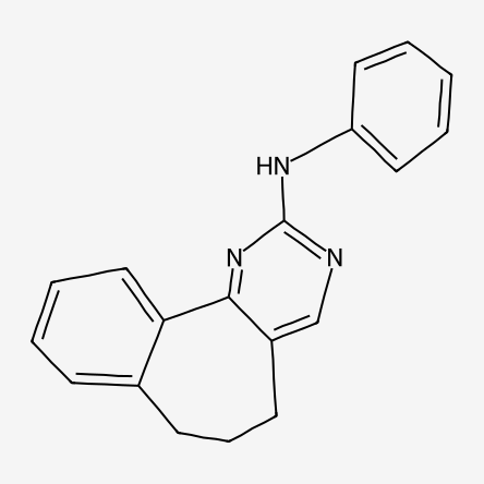 c1ccc(Nc2ncc3c(n2)-c2ccccc2CCC3)cc1